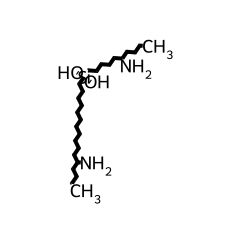 CCCCC(N)CCCCCCCCCCC[Si](O)(O)CCCCCC(N)CCCC